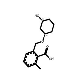 Cc1cccc(CO[C@@H]2CCC[C@H](O)C2)c1C(=O)O